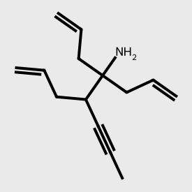 C=CCC(C#CC)C(N)(CC=C)CC=C